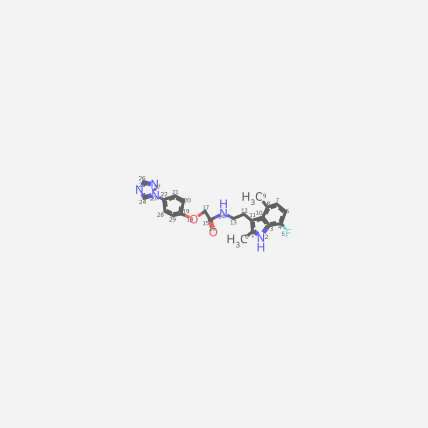 Cc1[nH]c2c(F)ccc(C)c2c1CCNC(=O)COc1ccc(-n2cncn2)cc1